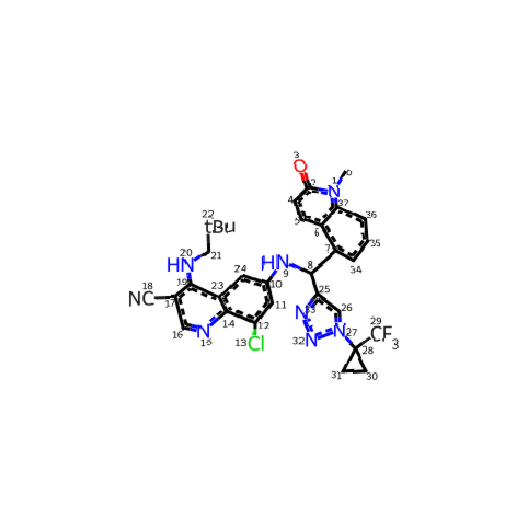 Cn1c(=O)ccc2c(C(Nc3cc(Cl)c4ncc(C#N)c(NCC(C)(C)C)c4c3)c3cn(C4(C(F)(F)F)CC4)nn3)cccc21